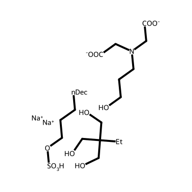 CCC(CO)(CO)CO.CCCCCCCCCCCCCOS(=O)(=O)O.O=C([O-])CN(CCCO)CC(=O)[O-].[Na+].[Na+]